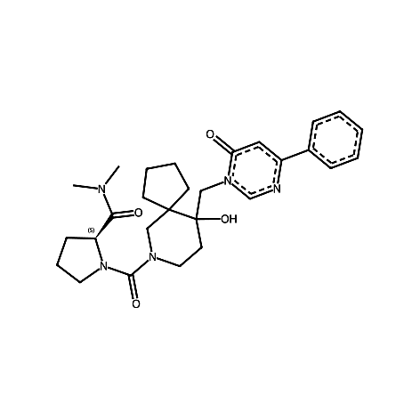 CN(C)C(=O)[C@@H]1CCCN1C(=O)N1CCC(O)(Cn2cnc(-c3ccccc3)cc2=O)C2(CCCC2)C1